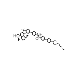 CCCCCC1CCC(c2ccc(-c3ccc(C(=O)Nc4ccc(-c5ccc6c(c5)-c5c(cc(O)c7c(F)ccc(F)c57)C6(C)C)cc4)cc3)cc2)CC1